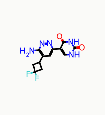 Nc1nnc(-c2c[nH]c(=O)[nH]c2=O)cc1C1CC(F)(F)C1